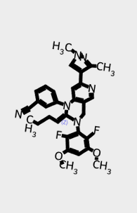 CCC/C=C1/N(c2c(F)c(OC)cc(OC)c2F)Cc2cnc(-c3cn(C)nc3C)cc2N1c1cccc(C#N)c1